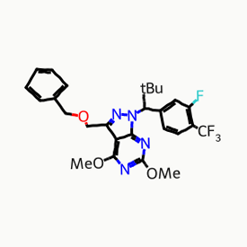 COc1nc(OC)c2c(COCc3ccccc3)nn(C(c3ccc(C(F)(F)F)c(F)c3)C(C)(C)C)c2n1